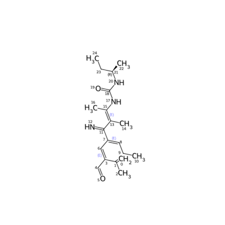 C=C(C)/C(C=O)=C\C(=C/CC)C(=N)/C(C)=C(\C)NC(=O)N[C@H](C)CC